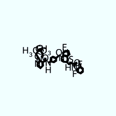 CC1(C)CCN(c2ncccc2C(=O)Nc2ccc(C(O)N3CCc4cc(C(=O)Nc5c(F)cccc5F)sc4-c4ccc(F)cc43)cc2)CCS1(=O)=O